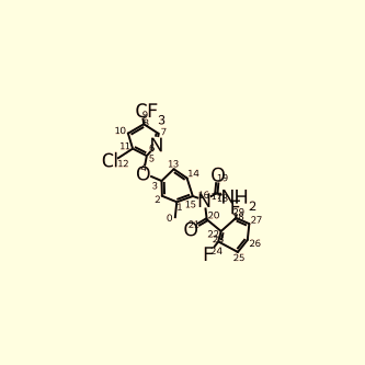 Cc1cc(Oc2ncc(C(F)(F)F)cc2Cl)ccc1N(C(N)=O)C(=O)c1c(F)cccc1F